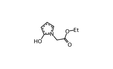 CCOC(=O)Cn1cccc1O